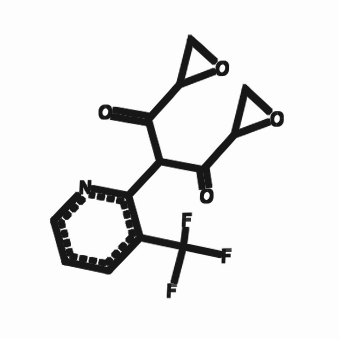 O=C(C1CO1)C(C(=O)C1CO1)c1ncccc1C(F)(F)F